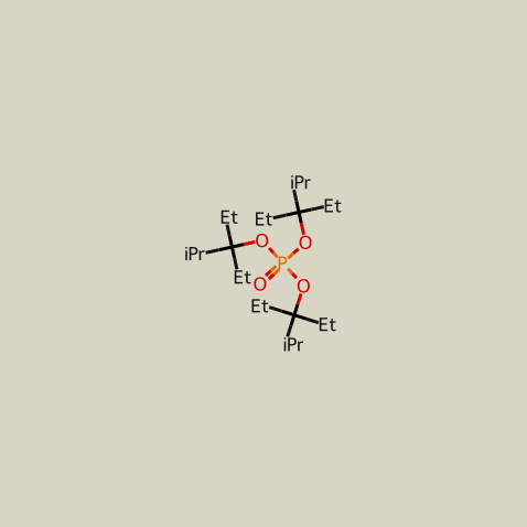 CCC(CC)(OP(=O)(OC(CC)(CC)C(C)C)OC(CC)(CC)C(C)C)C(C)C